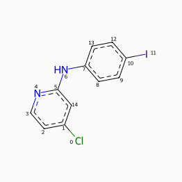 Clc1ccnc(Nc2ccc(I)cc2)c1